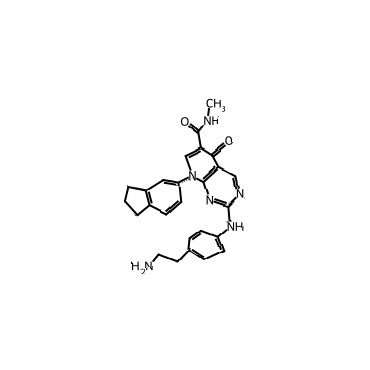 CNC(=O)c1cn(-c2ccc3c(c2)CCC3)c2nc(Nc3ccc(CCN)cc3)ncc2c1=O